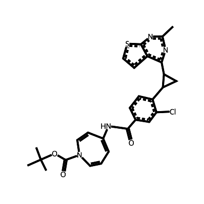 Cc1nc(C2CC2c2ccc(C(=O)NC3=CC=CN(C(=O)OC(C)(C)C)C=C3)cc2Cl)c2ccsc2n1